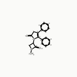 CN1CC(N2C(=O)CC(c3ccccc3)=C2c2ccccc2)C1=O